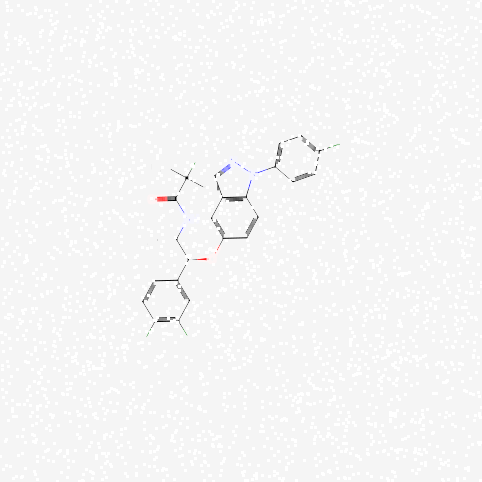 C[C@H](NC(=O)C(C)(C)F)[C@@H](Oc1ccc2c(cnn2-c2ccc(F)cc2)c1)c1ccc(F)c(F)c1